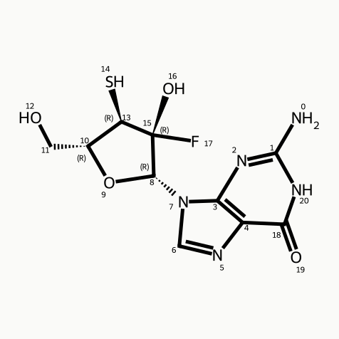 Nc1nc2c(ncn2[C@@H]2O[C@H](CO)[C@@H](S)[C@]2(O)F)c(=O)[nH]1